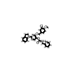 COc1ccc(COc2nc(N3CCc4ccccc43)ncc2OC(=O)NCc2ccccn2)cc1Cl